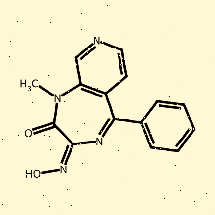 Cn1c(=O)c(=NO)nc(-c2ccccc2)c2ccncc21